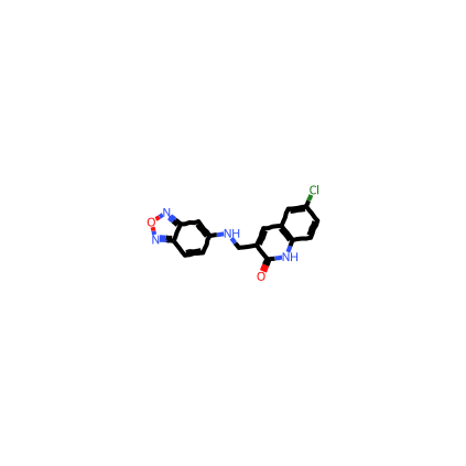 O=c1[nH]c2ccc(Cl)cc2cc1CNc1ccc2nonc2c1